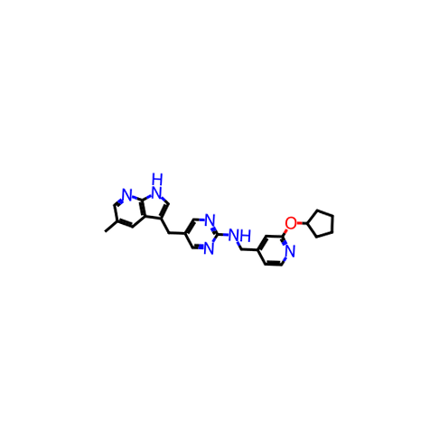 Cc1cnc2[nH]cc(Cc3cnc(NCc4ccnc(OC5CCCC5)c4)nc3)c2c1